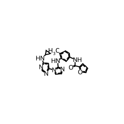 Cc1ccc(NC(=O)c2ccco2)cc1Nc1nccn1-c1cc(NC2CC2)ncn1